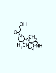 CC1CCN(C(=O)CCO)CC1N(C)c1ncnc2[nH]ccc12